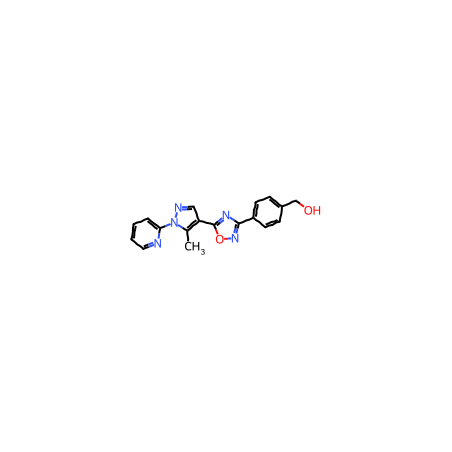 Cc1c(-c2nc(-c3ccc(CO)cc3)no2)cnn1-c1ccccn1